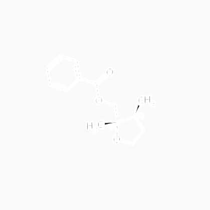 C[C@H]1CCO[C@]1(C)COC(=O)c1ccccc1